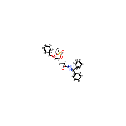 CS(=O)(=O)O[C@H](CCC(=O)NN=C(c1ccccc1)c1ccccc1)COCc1ccccc1